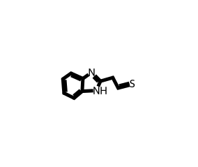 S=CCc1nc2ccccc2[nH]1